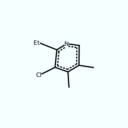 CCc1ncc(C)c(C)c1Cl